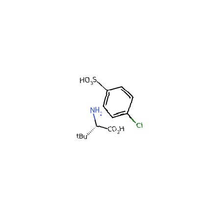 CC(C)(C)[C@H](N)C(=O)O.O=S(=O)(O)c1ccc(Cl)cc1